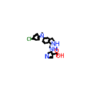 CN(c1ccc(Cl)cc1)c1ccc2c(c1)CCN[C@H]2CNc1cnccc1C(=O)O